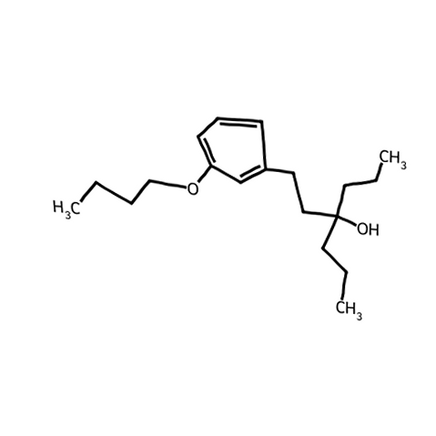 CCCCOc1cccc(CCC(O)(CCC)CCC)c1